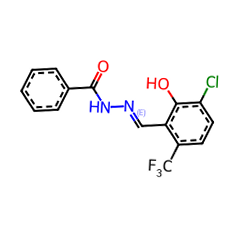 O=C(N/N=C/c1c(C(F)(F)F)ccc(Cl)c1O)c1ccccc1